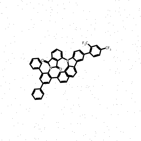 O=C1c2cccc(-n3c4ccccc4c4cc(-c5ccc(C(F)(F)F)cc5C(F)(F)F)ccc43)c2C(=O)N1c1c(-c2ccccc2)cc(-c2ccccc2)cc1-c1ccccc1